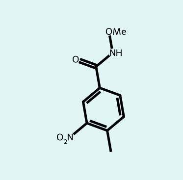 CONC(=O)c1ccc(C)c([N+](=O)[O-])c1